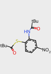 CC(C)(C)C(=O)Nc1cc([N+](=O)[O-])ccc1SC(=O)C(C)(C)C